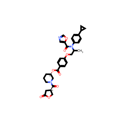 CC(COc1ccc(C(=O)O[C@H]2CCCN(C(=O)[C@H]3COC(=O)C3)C2)cc1)N(C(=O)c1cnco1)c1ccc(C2CC2)cc1